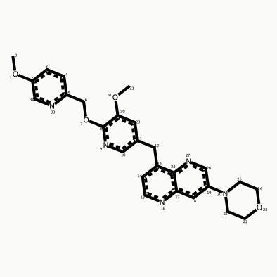 COc1ccc(COc2ncc(Cc3ccnc4cc(N5CCOCC5)cnc34)cc2OC)nc1